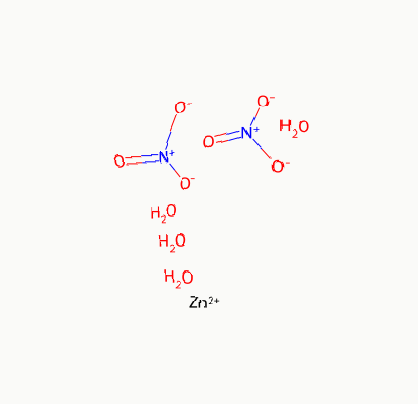 O.O.O.O.O=[N+]([O-])[O-].O=[N+]([O-])[O-].[Zn+2]